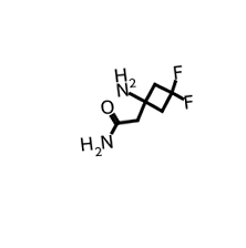 NC(=O)CC1(N)CC(F)(F)C1